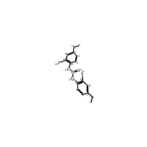 CCc1ccc(OS(=O)Oc2ccc(CC)cc2F)c(F)c1